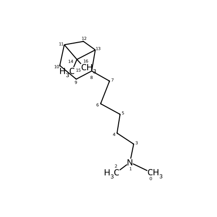 CN(C)CCCCCC1CCC2CC1C2(C)C